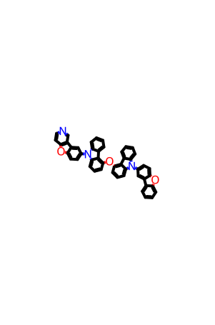 c1ccc2c(c1)oc1ccc(-n3c4ccccc4c4c(Oc5cccc6c5c5ccccc5n6-c5ccc6oc7ccncc7c6c5)cccc43)cc12